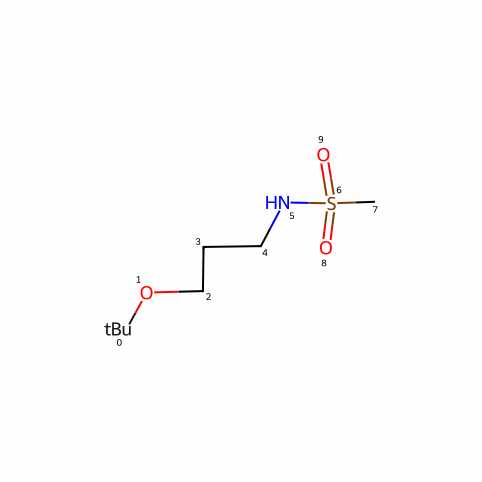 CC(C)(C)OCCCNS(C)(=O)=O